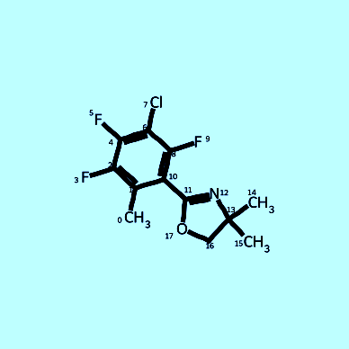 Cc1c(F)c(F)c(Cl)c(F)c1C1=NC(C)(C)CO1